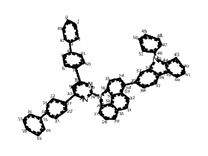 c1ccc(-c2ccc(-c3cc(-c4ccc(-c5ccccc5)cc4)nc(-n4c5cccc6ccc7c(-c8ccc9c%10ccccc%10n(-c%10ccccc%10)c9c8)ccc4c7c65)n3)cc2)cc1